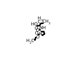 C=CCOC(=O)N1CCC[C@H]1C(=O)NC(C(=O)O)C(C)CC